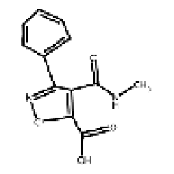 CNC(=O)c1c(-c2ccccc2)noc1C(=O)O